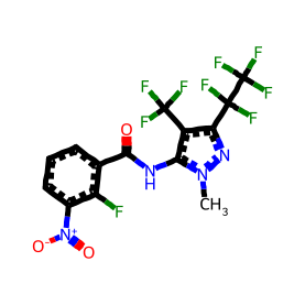 Cn1nc(C(F)(F)C(F)(F)F)c(C(F)(F)F)c1NC(=O)c1cccc([N+](=O)[O-])c1F